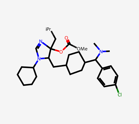 COC(=O)OC1(CC(C)C)N=CN(C2CCCCC2)C1CC1CCC(C(c2ccc(Cl)cc2)N(C)C)CC1